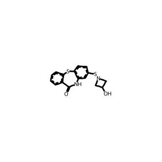 O=C1Nc2cc(SN3CC(O)C3)ccc2Sc2ccccc21